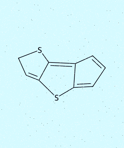 C1=Cc2c3c(sc2=C1)=CCS3